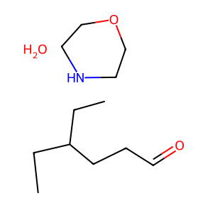 C1COCCN1.CCC(CC)CCC=O.O